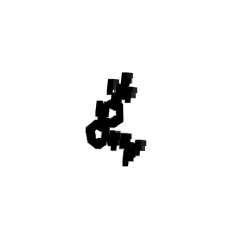 FB(F)F.F[B-](F)(F)F.F[n+]1ccccc1.c1ccncc1